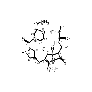 C[C@@H](NC(=O)C(F)F)[C@H]1C(=O)N2C(C(=O)O)=C(SC3CN[C@H](C(=O)N4CCO[C@H](CN)C4)C3)[C@H](C)[C@@H]12